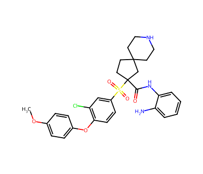 COc1ccc(Oc2ccc(S(=O)(=O)C3(C(=O)Nc4ccccc4N)CCC4(CCNCC4)C3)cc2Cl)cc1